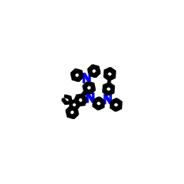 CCC1(CC)c2ccccc2-c2cc3c(cc21)c1cc(N(c2ccccc2)c2ccccc2)ccc1n3-c1cccc(N(c2ccccc2)c2ccc(-c3ccccc3)cc2)c1